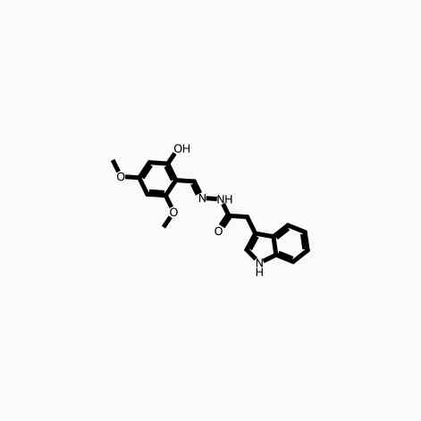 COc1cc(O)c(/C=N/NC(=O)Cc2c[nH]c3ccccc23)c(OC)c1